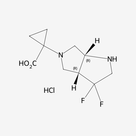 Cl.O=C(O)C1(N2C[C@@H]3NCC(F)(F)[C@@H]3C2)CC1